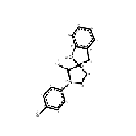 [2H]C1N(c2ccc(Br)cc2)CCC12Cc1ccccc1O2